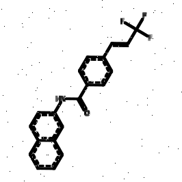 O=C(Nc1ccc2ccccc2c1)c1ccc(/C=C/C(F)(F)F)cc1